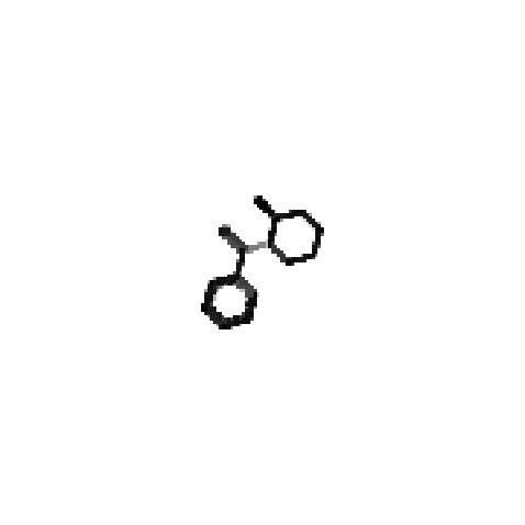 C[C@H]1CCCC[C@@H]1C(=O)c1ccccc1